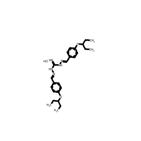 CCC(CC)Oc1ccc(C=NNC(=N)NN=Cc2ccc(OC(CC)CC)cc2)cc1.Cl